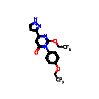 O=c1cc(-c2cc[nH]n2)nc(OCC(F)(F)F)n1-c1ccc(OCC(F)(F)F)cc1